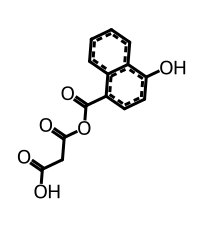 O=C(O)CC(=O)OC(=O)c1ccc(O)c2ccccc12